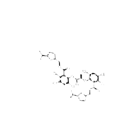 CC(C)C1CCC(COC(=O)c2c(Cl)c(Cl)cc(Cl)c2OC(=O)C(=O)Oc2c(Cl)cc(Cl)c(Cl)c2C(=O)OCC2CCC(C(C)C)C2)C1